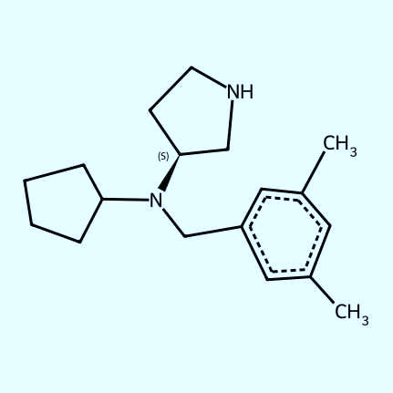 Cc1cc(C)cc(CN(C2CCCC2)[C@H]2CCNC2)c1